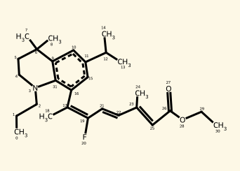 CCCN1CCC(C)(C)c2cc(C(C)C)cc(\C(C)=C(F)/C=C/C(C)=C/C(=O)OCC)c21